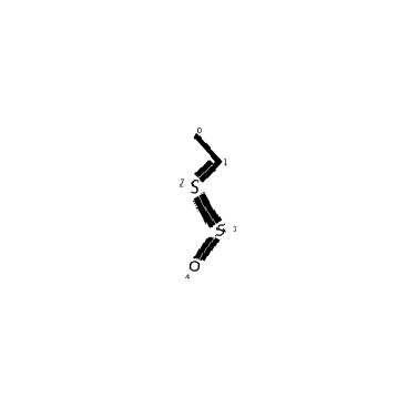 CC=S=S=O